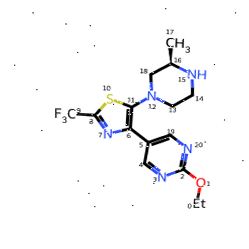 CCOc1ncc(-c2nc(C(F)(F)F)sc2N2CCN[C@H](C)C2)cn1